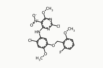 COc1cc(Cl)c(Nc2nc(Cl)nc(OC)c2[N+](=O)[O-])cc1OCc1c(F)cccc1OC